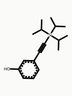 CC(C)[Si](C#Cc1cccc(O)c1)(C(C)C)C(C)C